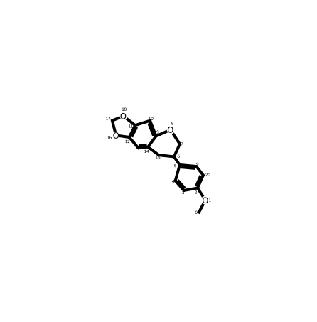 COc1ccc(C2COc3cc4c(cc3C2)OCO4)cc1